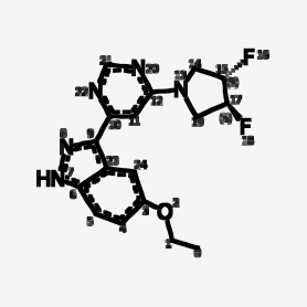 CCOc1ccc2[nH]nc(-c3cc(N4C[C@H](F)[C@@H](F)C4)ncn3)c2c1